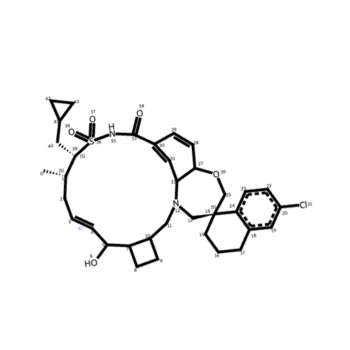 C[C@H]1C/C=C/C(O)C2CCC2CN2C[C@@]3(CCCc4cc(Cl)ccc43)COC3C=CC(=CC32)C(=O)NS(=O)(=O)[C@H]1CC1CC1